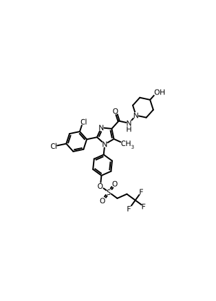 Cc1c(C(=O)NN2CCC(O)CC2)nc(-c2ccc(Cl)cc2Cl)n1-c1ccc(OS(=O)(=O)CCC(F)(F)F)cc1